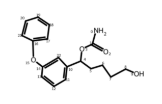 NC(=O)OC(CCCCO)c1cccc(Oc2ccccc2)c1